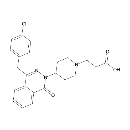 O=C(O)CCN1CCC(n2nc(Cc3ccc(Cl)cc3)c3ccccc3c2=O)CC1